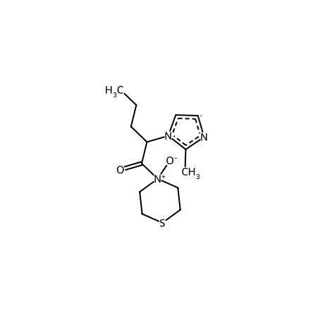 CCCC(C(=O)[N+]1([O-])CCSCC1)n1c[c]nc1C